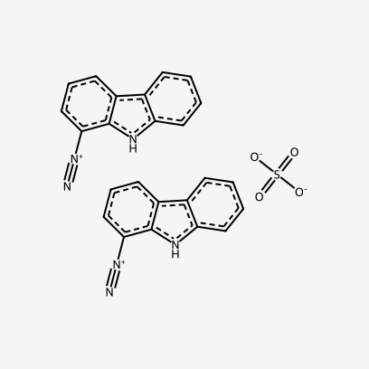 N#[N+]c1cccc2c1[nH]c1ccccc12.N#[N+]c1cccc2c1[nH]c1ccccc12.O=S(=O)([O-])[O-]